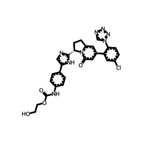 O=C(Nc1ccc(-c2cnc([C@@H]3CCc4cc(-c5cc(Cl)ccc5-n5cnnn5)cc(=O)n43)[nH]2)cc1)OCCO